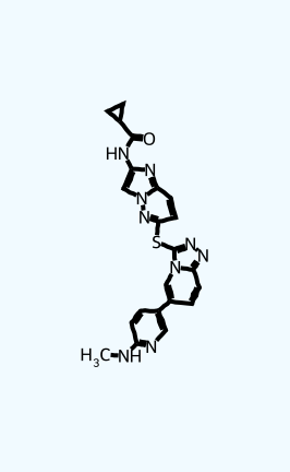 CNc1ccc(-c2ccc3nnc(Sc4ccc5nc(NC(=O)C6CC6)cn5n4)n3c2)cn1